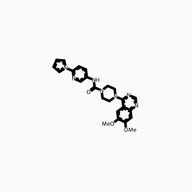 COc1cc2ncnc(N3CCN(C(=O)Nc4ccc(-n5cccc5)nc4)CC3)c2cc1OC